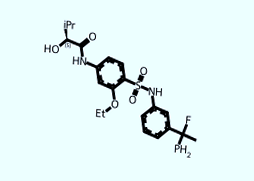 CCOc1cc(NC(=O)[C@@H](O)C(C)C)ccc1S(=O)(=O)Nc1cccc(C(C)(F)P)c1